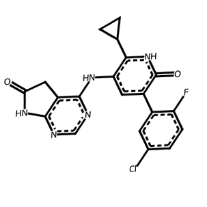 O=C1Cc2c(ncnc2Nc2cc(-c3cc(Cl)ccc3F)c(=O)[nH]c2C2CC2)N1